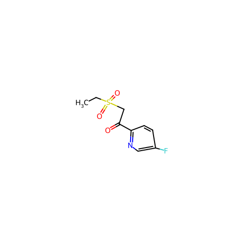 CCS(=O)(=O)CC(=O)c1ccc(F)cn1